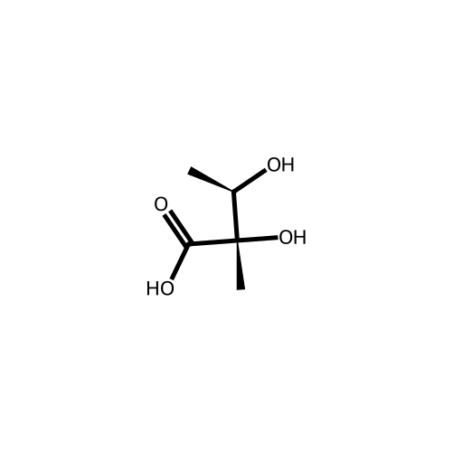 C[C@@H](O)[C@](C)(O)C(=O)O